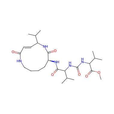 COC(=O)C(NC(=O)NC(C(=O)N[C@H]1CCCCNC(=O)/C=C/C(C(C)C)NC1=O)C(C)C)C(C)C